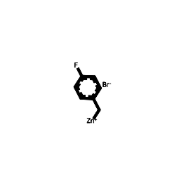 Fc1ccc([CH2][Zn+])cc1.[Br-]